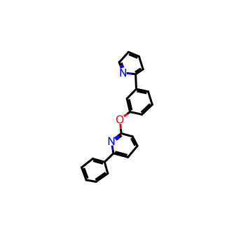 c1ccc(-c2cccc(Oc3cccc(-c4ccccn4)c3)n2)cc1